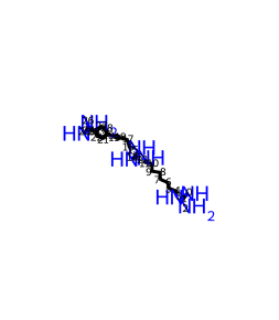 N=C(N)NCCCCCCCCNC(=N)NCCC#Cc1ccc(C(=N)N)cc1